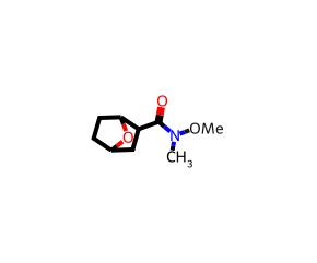 CON(C)C(=O)C1CC2CCC1O2